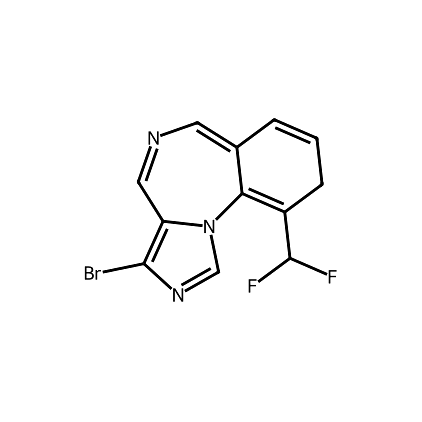 FC(F)C1=C2C(=CN=Cc3c(Br)ncn32)C=CC1